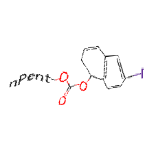 CCCCCOC(=O)OC1CC=Cc2cc(I)ccc21